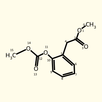 COC(=O)Cc1ccccc1OC(=O)OC